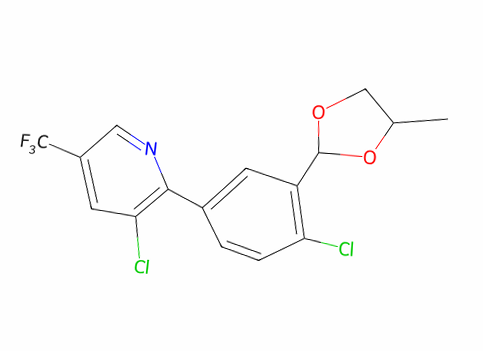 CC1COC(c2cc(-c3ncc(C(F)(F)F)cc3Cl)ccc2Cl)O1